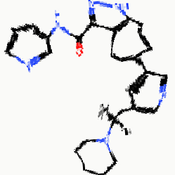 [2H]C([2H])(c1cncc(-c2ccc3[nH]nc(C(=O)Nc4cccnc4)c3c2)c1)N1CCCCC1